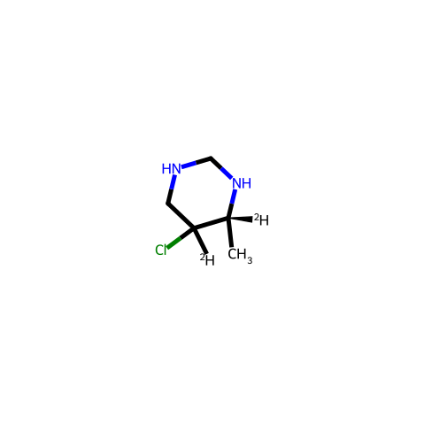 [2H]C1(Cl)CNCN[C@]1([2H])C